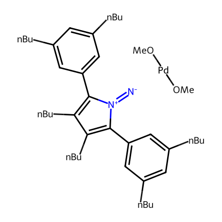 CCCCC1=C(c2cc(CCCC)cc(CCCC)c2)[N+](=[N-])C(c2cc(CCCC)cc(CCCC)c2)=C1CCCC.C[O][Pd][O]C